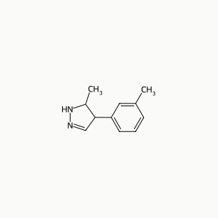 Cc1cccc(C2C=NNC2C)c1